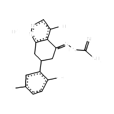 Cc1ccc(F)cc1C1C/C(=N\NC(=N)N)c2c(C)cnnc2C1.Cl